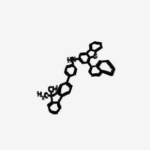 CC1(C)c2ccccc2-c2ccc(-c3ccc(Nc4cc(-c5cccc6ccccc56)c5sc6ccccc6c5c4)cc3)cc21